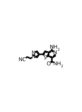 N#CCCn1cc(-c2cc3c(N)ncc(C(N)=O)c3s2)cn1